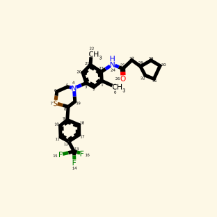 Cc1cc(N2CCSC(c3ccc(C(F)(F)F)cc3)C2)cc(C)c1NC(=O)CC1CCCC1